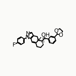 C[C@]12Cc3cnn(-c4ccc(F)cc4)c3C=C1CCC[C@@H]2[C@@H](O)c1cccc(C2OCCO2)c1